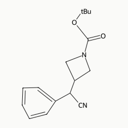 CC(C)(C)OC(=O)N1CC(C(C#N)c2ccccc2)C1